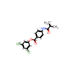 C=C(C)C(=O)Nc1ccc(C(=O)Oc2cc(Cl)cc(Cl)c2)cc1